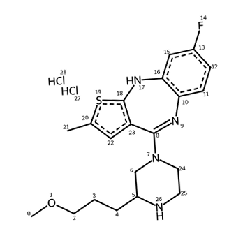 COCCCC1CN(C2=Nc3ccc(F)cc3Nc3sc(C)cc32)CCN1.Cl.Cl